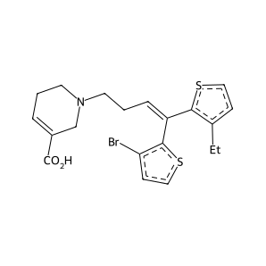 CCc1ccsc1C(=CCCN1CCC=C(C(=O)O)C1)c1sccc1Br